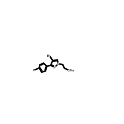 CSCCn1cc(Br)c(-c2ccc(F)cc2)n1